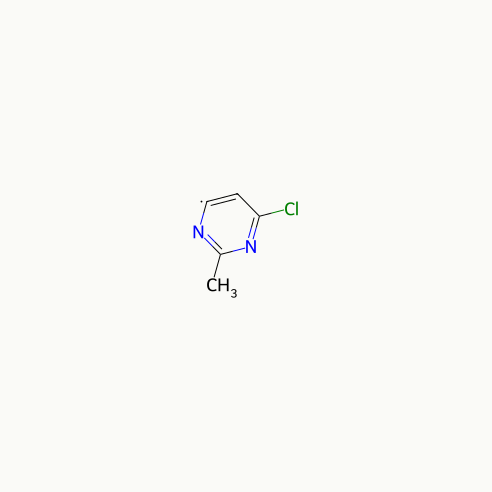 Cc1n[c]cc(Cl)n1